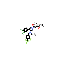 COC(CCC(C)=O)N1C[C@H](c2ccc(Cl)c(Cl)c2)[C@@H](N(C)Cc2ccc(C(F)(F)F)c(F)c2)C1